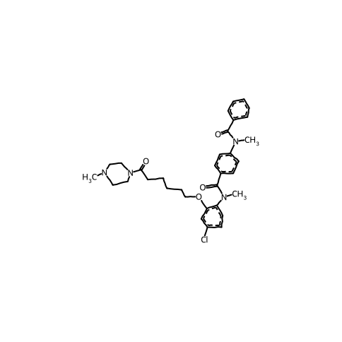 CN1CCN(C(=O)CCCCCOc2cc(Cl)ccc2N(C)C(=O)c2ccc(N(C)C(=O)c3ccccc3)cc2)CC1